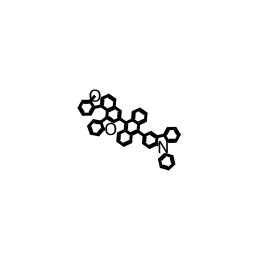 c1ccc(-n2c3ccccc3c3cc(-c4c5ccccc5c(-c5cc6ccc7oc8ccccc8c7c6c6c5oc5ccccc56)c5ccccc45)ccc32)cc1